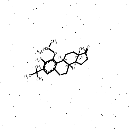 C[SiH](C)Oc1c(N)c(C(C)(C)C)cc2c1[C@H]1CC[C@]3(C)C(=O)CC[C@H]3[C@@H]1CC2